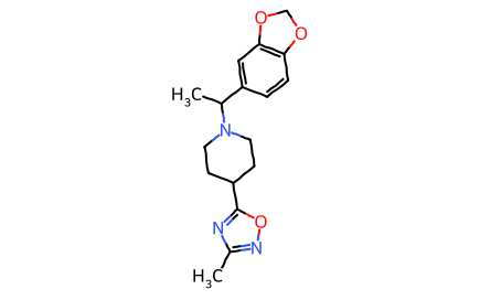 Cc1noc(C2CCN(C(C)c3ccc4c(c3)OCO4)CC2)n1